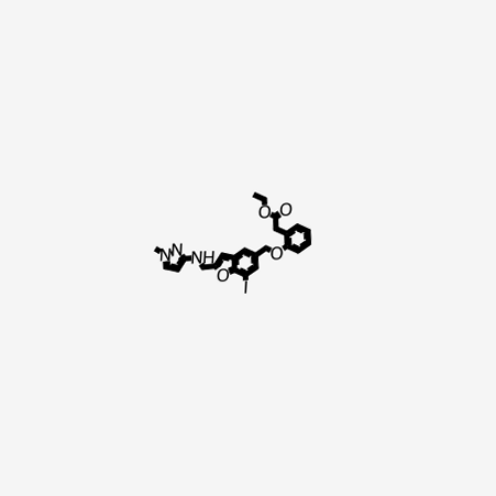 CCOC(=O)Cc1ccccc1OCc1cc(I)c2oc(CNc3ccn(C)n3)cc2c1